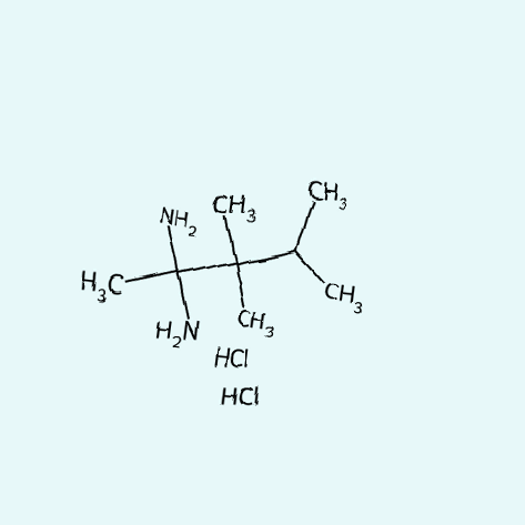 CC(C)C(C)(C)C(C)(N)N.Cl.Cl